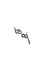 C/C=C/CCc1cc(F)c2cc([C@@H]3CC[C@@H]4CC(CC)CCC4C3)ccc2c1